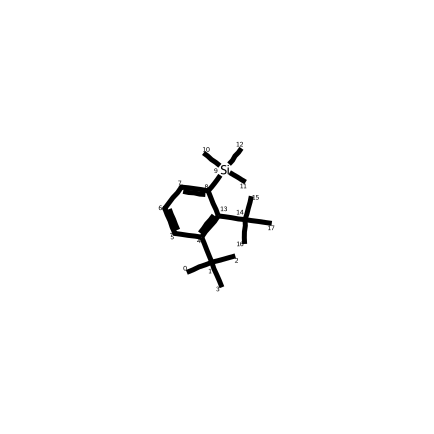 CC(C)(C)c1[c]ccc([Si](C)(C)C)c1C(C)(C)C